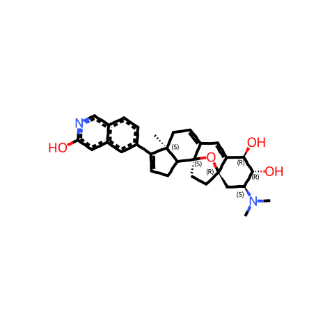 CN(C)[C@H]1C[C@@]23CC[C@@]4(O2)C(=CC[C@]2(C)C(c5ccc6cnc(O)cc6c5)=CCC24)C=C3[C@@H](O)[C@@H]1O